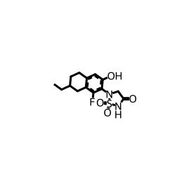 CCC1CCc2cc(O)c(N3CC(=O)NS3(=O)=O)c(F)c2C1